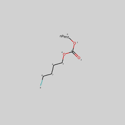 CCCCCOC(=O)OCCCCF